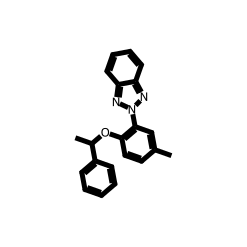 Cc1ccc(OC(C)c2ccccc2)c(-n2nc3ccccc3n2)c1